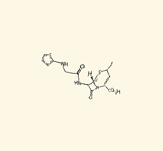 CC1C=C(C(=O)O)N2C(=O)C(NC(=O)CNc3cccs3)[C@@H]2S1